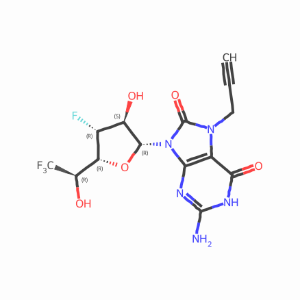 C#CCn1c(=O)n([C@@H]2O[C@H]([C@@H](O)C(F)(F)F)[C@H](F)[C@H]2O)c2nc(N)[nH]c(=O)c21